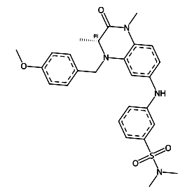 COc1ccc(CN2c3cc(Nc4cccc(S(=O)(=O)N(C)C)c4)ccc3N(C)C(=O)[C@H]2C)cc1